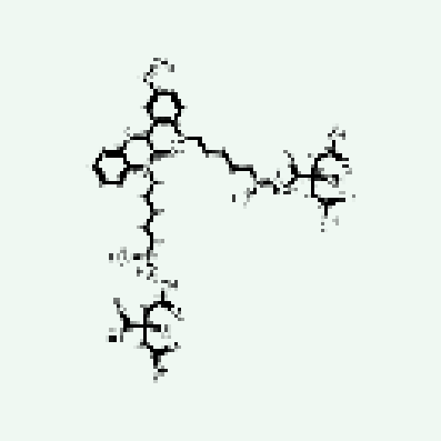 COc1ccc(OCCCCCN(C)C)c(C2Sc3ccccc3N(CCCCCN(C)C)C2=O)c1.O=C(O)CC(O)(CC(=O)O)C(=O)O.O=C(O)CC(O)(CC(=O)O)C(=O)O